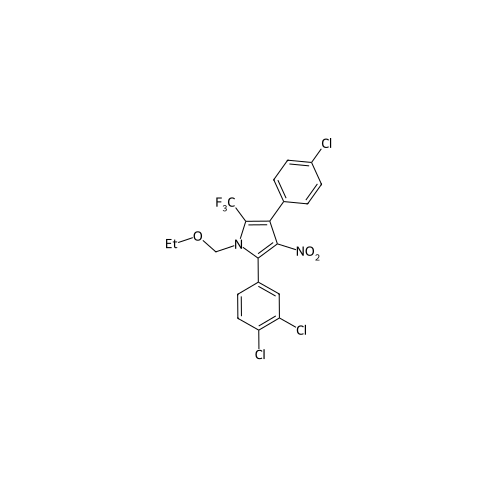 CCOCn1c(-c2ccc(Cl)c(Cl)c2)c([N+](=O)[O-])c(-c2ccc(Cl)cc2)c1C(F)(F)F